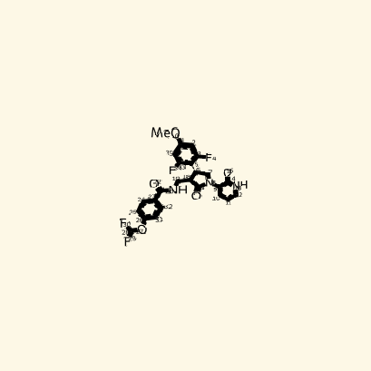 COc1cc(F)c([C@@H]2CN(c3ccc[nH]c3=O)C(=O)C2CNC(=O)c2ccc(OC(F)F)cc2)c(F)c1